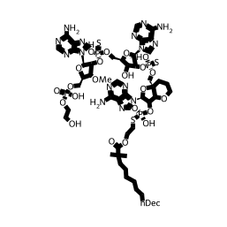 CCCCCCCCCCCCCCCCC(C)(C)C(=O)OCCSP(=O)(O)OC1C2OCCC[C@]2(COP(O)(=S)OC2C(O)[C@@H](COP(O)(=S)OC3C(OC)[C@@H](COP(=O)(O)OCCO)O[C@H]3n3cnc4c(N)ncnc43)O[C@H]2n2cnc3c(N)ncnc32)O[C@H]1n1cnc2c(N)ncnc21